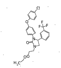 CCOOCCN1CC(c2cccc(C(F)(F)F)c2)N(c2ccc(Oc3ccc(Cl)cc3)cc2)C1=O